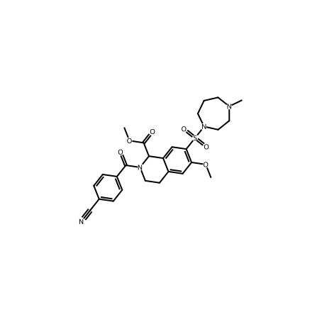 COC(=O)C1c2cc(S(=O)(=O)N3CCCN(C)CC3)c(OC)cc2CCN1C(=O)c1ccc(C#N)cc1